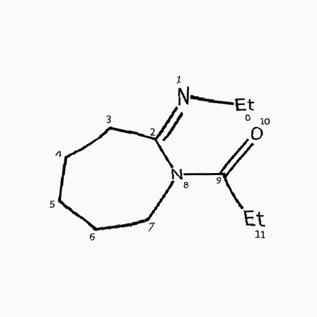 CC/N=C1/CCCCCN1C(=O)CC